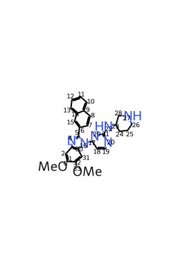 COc1cc2nc(-c3ccc4ccccc4c3)n(-c3ccnc(NC4CCCNC4)n3)c2cc1OC